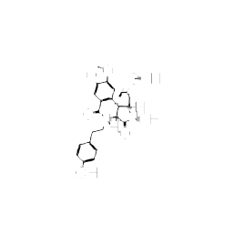 CO[C@H]1C=C[C@@]23c4cc5c(cc4C(=O)N(CCc4ccc(O)cc4)[C@@H]2C(=O)N(C)[C@H]3C1)OCO5